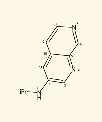 CC(C)Nc1cnc2cnccc2c1